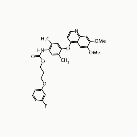 COc1cc2nccc(Oc3cc(C)c(NC(=O)OCCCOc4cccc(F)c4)cc3C)c2cc1OC